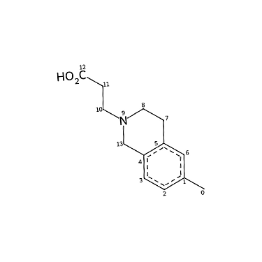 Cc1ccc2c(c1)CCN(CCC(=O)O)C2